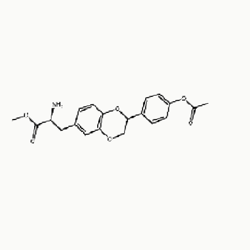 COC(=O)[C@@H](N)Cc1ccc2c(c1)OCC(c1ccc(OC(C)=O)cc1)O2